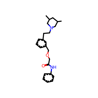 CC1CC(C)CN(CCc2cccc(COCC(=O)Nc3ccccc3)c2)C1